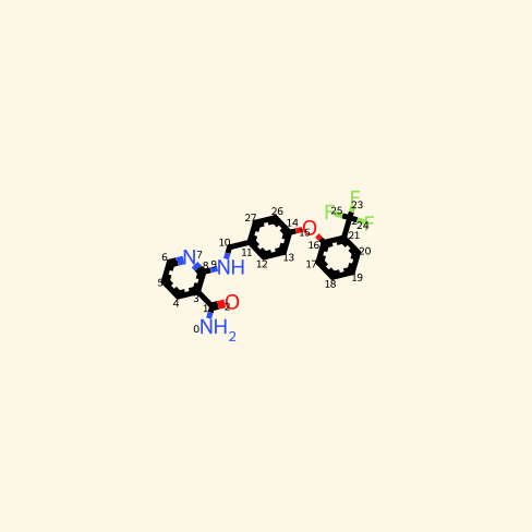 NC(=O)c1cccnc1NCc1ccc(Oc2ccccc2C(F)(F)F)cc1